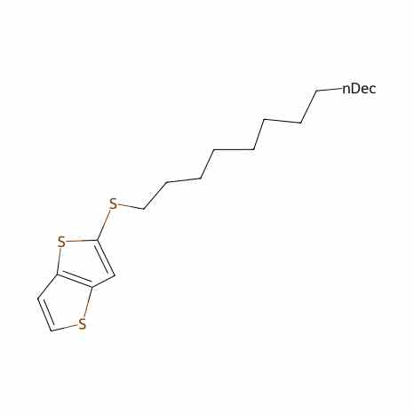 CCCCCCCCCCCCCCCCCCSc1cc2sccc2s1